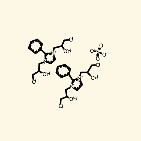 O=S(=O)([O-])[O-].OC(CCl)Cn1cc[n+](CC(O)CCl)c1-c1ccccc1.OC(CCl)Cn1cc[n+](CC(O)CCl)c1-c1ccccc1